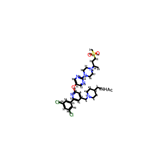 CC(=O)NCC1CCN(Cc2cc(Oc3cnc(N4CCN(C(C)CCS(C)(=O)=O)CC4)nc3)nc(-c3cc(Cl)cc(Cl)c3)c2)CC1